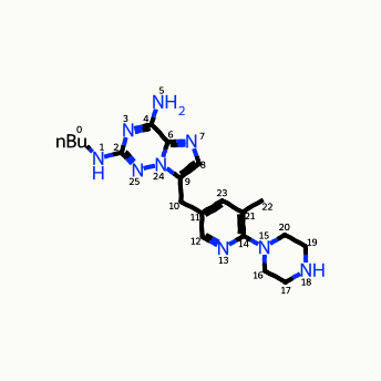 CCCCNc1nc(N)c2ncc(Cc3cnc(N4CCNCC4)c(C)c3)n2n1